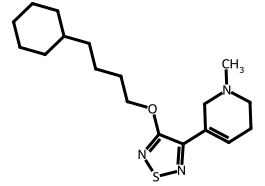 CN1CCC=C(c2nsnc2OCCCCC2CCCCC2)C1